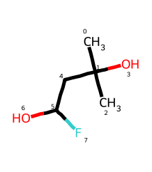 CC(C)(O)CC(O)F